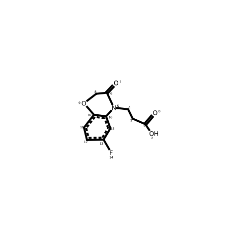 O=C(O)CCN1C(=O)COc2ccc(F)cc21